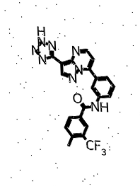 Cc1ccc(C(=O)Nc2cccc(-c3ccnc4c(-c5nn[nH]n5)cnn34)c2)cc1C(F)(F)F